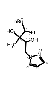 CCCCC(CC)C(C)(O)C(O)Cn1cccn1